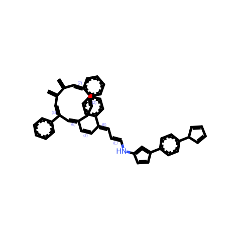 C=C1/C=c2/cccc/c2=C/CC(/C=C\C(=C/C=C/NC2=C=C(c3ccc(C4C=CC=C4)cc3)C=C2)c2ccccc2)=C\C(c2ccccc2)=C/C1=C